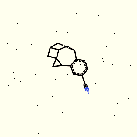 N#Cc1ccc2c(c1)C1CC13CC1CC2CC13